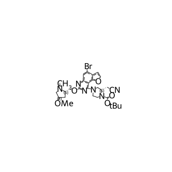 CO[C@@H]1C[C@@H](COc2nc(N3CCN(C(=O)OC(C)(C)C)[C@@H](CC#N)C3)c3c(cc(Br)c4ccoc43)n2)N(C)C1